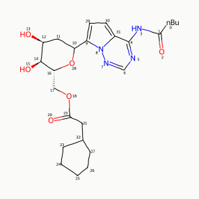 CCCCC(=O)Nc1ncnn2c(C3C[C@H](O)[C@H](O)[C@@H](COC(=O)CC4CCCCC4)O3)ccc12